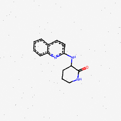 O=C1NCCCC1Nc1ccc2ccccc2n1